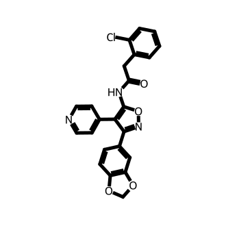 O=C(Cc1ccccc1Cl)Nc1onc(-c2ccc3c(c2)OCO3)c1-c1ccncc1